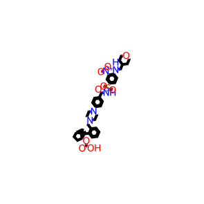 CC1(C)C2C=C(c3ccccc3CN3CCN(c4ccc(C(=O)NS(=O)(=O)c5ccc(NCC6CCOCC6)c([N+](=O)[O-])c5)cc4)CC3)C1(OC(=O)O)CC2